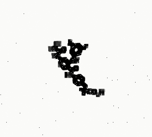 CCNC(=O)Nc1cc(Nc2cc(F)cc(F)c2)c(C(=O)Nc2ccc(CC(C)(C)C(=O)O)cc2)cn1